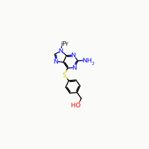 CC(C)n1cnc2c(Sc3ccc(CO)cc3)nc(N)nc21